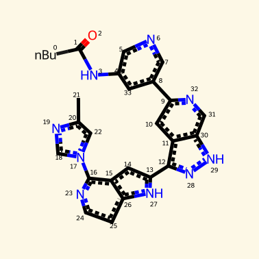 CCCCC(=O)Nc1cncc(-c2cc3c(-c4cc5c(-n6cnc(C)c6)nccc5[nH]4)n[nH]c3cn2)c1